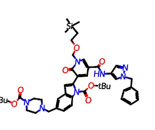 CC(C)(C)OC(=O)N1CCN(Cc2ccc3c(c2)cc(-c2cc(C(=O)Nc4cnn(Cc5ccccc5)c4)cn(COCC[Si](C)(C)C)c2=O)n3C(=O)OC(C)(C)C)CC1